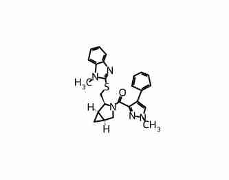 Cn1cc(-c2ccccc2)c(C(=O)N2C[C@H]3C[C@H]3[C@H]2CSc2nc3ccccc3n2C)n1